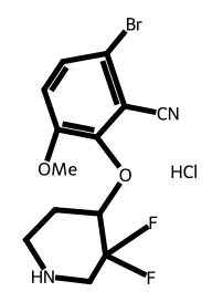 COc1ccc(Br)c(C#N)c1OC1CCNCC1(F)F.Cl